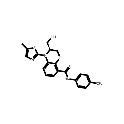 Cc1cnc(N2c3cccc(C(=O)Nc4ccc(C(F)(F)F)cc4)c3OC[C@@H]2CO)s1